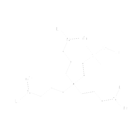 CCCN(CC)CCCC(CCCN(CC)CCC)(CCCN(CC)CCC)CC[Si](C)(C)OCC